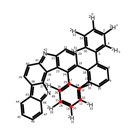 [2H]c1c([2H])c([2H])c(-c2cccc(-c3ccccc3)c2-c2ccc3c(c2-c2c([2H])c([2H])c([2H])c([2H])c2[2H])-c2c4c(ccc2=N3)=c2ccccc2=N4)c([2H])c1[2H]